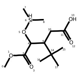 COC(=O)C(O[SiH](C)C)C(CC(=O)O)C(C)(C)C